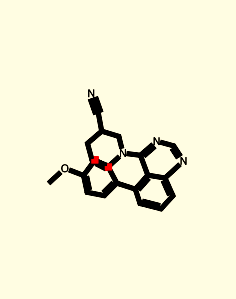 COc1ccc(-c2cccc3ncnc(N4CCCC(C#N)C4)c23)cc1